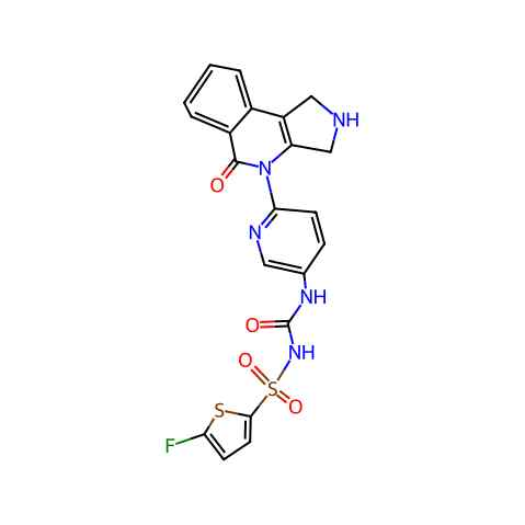 O=C(Nc1ccc(-n2c3c(c4ccccc4c2=O)CNC3)nc1)NS(=O)(=O)c1ccc(F)s1